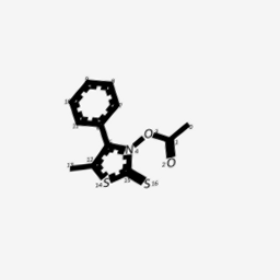 CC(=O)On1c(-c2ccccc2)c(C)sc1=S